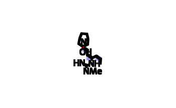 C\C=C/C(=C\C=C\N1C2CCC1CC(O)C2)NC(=N)NC